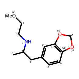 COCCNC(C)Cc1ccc2c(c1)OCO2